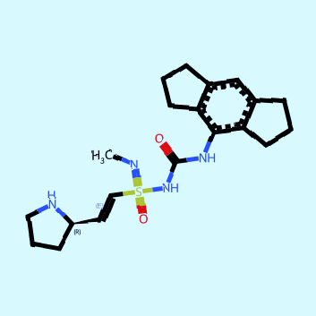 CN=S(=O)(/C=C/[C@H]1CCCN1)NC(=O)Nc1c2c(cc3c1CCC3)CCC2